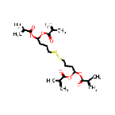 C=C(C)C(=O)OC(CCCSSCCCC(OC(=O)C(=C)C)OC(=O)C(=C)C)OC(=O)C(=C)C